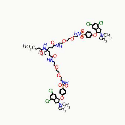 CN(C)[C@H]1Cc2c(Cl)cc(Cl)cc2[C@@H]1Oc1ccc(S(=O)(=O)NCCOCCOCCNC(=O)CCC(C)(CCC(=O)NCCOCCOCCNS(=O)(=O)c2ccc(O[C@H]3c4cc(Cl)cc(Cl)c4C[C@@H]3N(C)C)cc2)NC(=O)CCC(=O)O)cc1